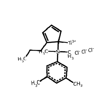 CCCC1=CC=C[C]1([Ti+3])[Si](C)(C)c1cc(C)cc(C)c1.[Cl-].[Cl-].[Cl-]